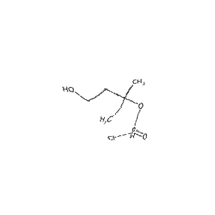 CC(C)(CCO)O[PH](=O)Cl